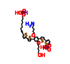 NCCCCCOc1cc(-c2ccc(-c3ccc(O[PH](=O)O)s3)s2)c(OCCCCCO)cc1-c1ccc(-c2ccc(C#CCCCCCCCO[PH](=O)O)s2)s1